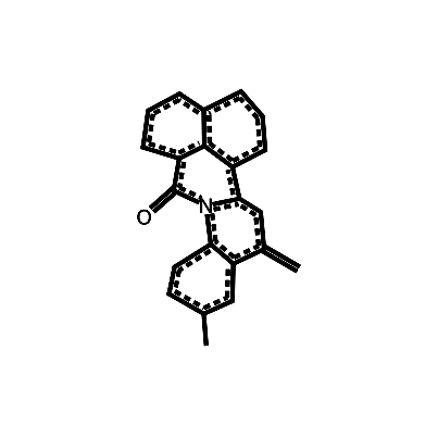 C=c1cc2c3cccc4cccc(c(=O)n2c2ccc(C)cc12)c43